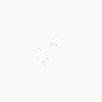 CCN(CCn1ccc(-c2ccc(F)cc2)n1)C(=O)c1cc(C)ccc1-n1nccn1